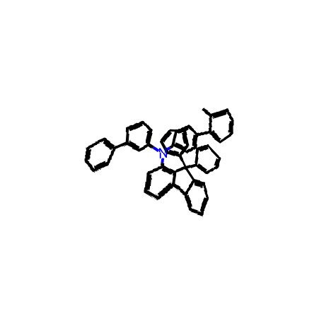 Cc1ccccc1-c1ccc(N(c2cccc(-c3ccccc3)c2)c2cccc3c2C(c2ccccc2)(c2ccccc2)c2ccccc2-3)cc1